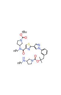 CCCNC1CCN(C(=O)OC(C)(C)Cc2cccc(-n3cc(-c4nc(C(=O)N(CCC)C5CCN(C(=O)OC(C)(C)C)C5)cs4)cn3)c2)C1